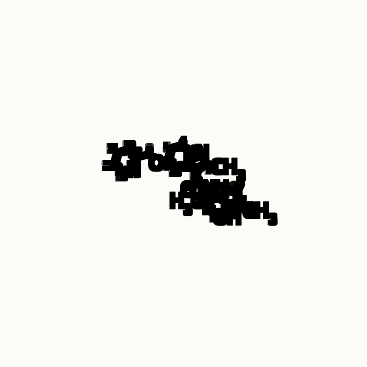 Cc1nn2ccc(OCc3ccccn3)cc2c1C(=O)NC(C)(CO)c1ccn(C)n1